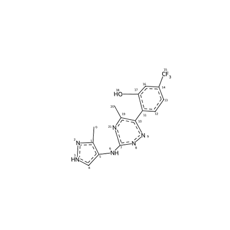 Cc1n[nH]cc1Nc1nnc(-c2ccc(C(F)(F)F)cc2O)c(C)n1